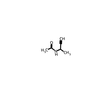 C#CC(C)NC(C)=O